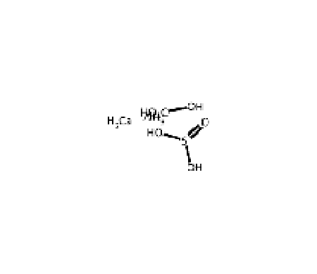 O=C(O)O.O=[Si](O)O.[AlH3].[CaH2]